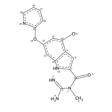 CN(C(=N)N)C(=O)c1cc2c(Cl)cc(Oc3ccccn3)cc2[nH]1